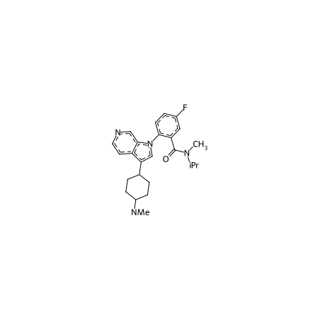 CNC1CCC(c2cn(-c3ccc(F)cc3C(=O)N(C)C(C)C)c3cnccc23)CC1